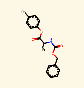 CC(C)c1ccc(OC(=O)C(NC(=O)OCc2ccccc2)C(C)C)cc1